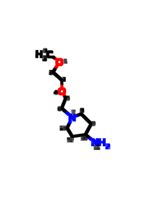 COCCOCCN1CCC(N)CC1